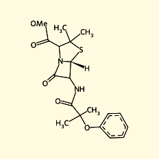 COC(=O)C1N2C(=O)C(NC(=O)C(C)(C)Oc3ccccc3)[C@H]2SC1(C)C